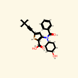 CC(C)(C)C#Cc1cc(N(C(=O)c2ccccc2)[C@H]2CC[C@@H](O)CC2)c(C(=O)O)s1